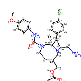 COc1ccc(NC(=O)N2CCC(COC(C)=O)CN3[C@H](CN)[C@H](c4ccc(Br)cc4)[C@@H]3C2)cc1